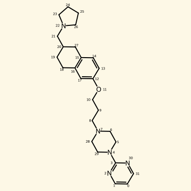 c1cnc(N2CCN(CCCOc3ccc4c(c3)CCC(CN3CCCC3)C4)CC2)nc1